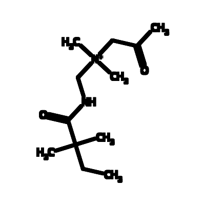 CCC(C)(C)C(=O)NC[N+](C)(C)CC(C)=O